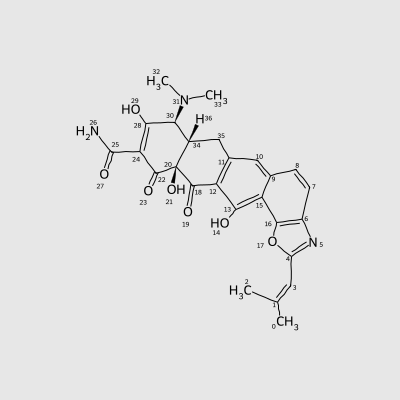 CC(C)=Cc1nc2ccc3cc4c(c(O)c3c2o1)C(=O)[C@]1(O)C(=O)C(C(N)=O)=C(O)[C@@H](N(C)C)[C@@H]1C4